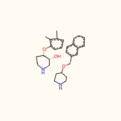 Cc1cccc(O[C@H]2CCNC[C@H]2O)c1C.c1ccc2cc(COC3CCNCC3)ccc2c1